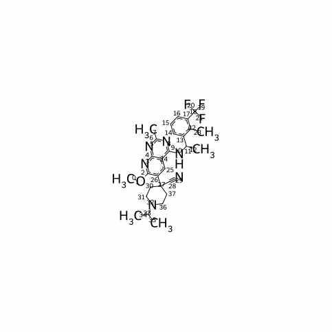 COc1nc2nc(C)nc(N[C@H](C)c3cccc(C(F)(F)F)c3C)c2cc1C1(C#N)CCN(C(C)C)CC1